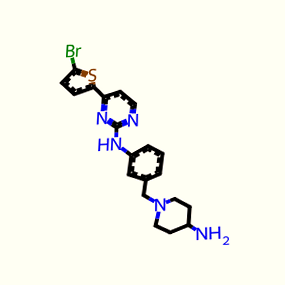 NC1CCN(Cc2cccc(Nc3nccc(-c4ccc(Br)s4)n3)c2)CC1